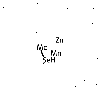 [Mn].[SeH][Mo].[Zn]